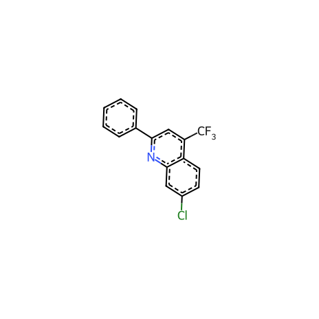 FC(F)(F)c1cc(-c2ccccc2)nc2cc(Cl)ccc12